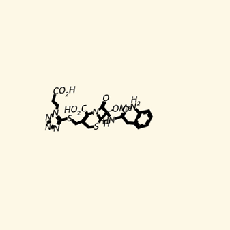 CO[C@@]1(NC(=O)Cc2ccccc2N)C(=O)N2C(C(=O)O)=C(CSc3nnnn3CCC(=O)O)CS[C@@H]21